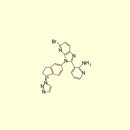 Nc1ncccc1-c1nc2ccc(Br)nc2n1-c1ccc2c(c1)CC[C@@H]2n1ccnn1